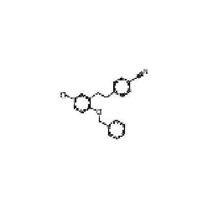 N#Cc1ccc(CCc2cc(Cl)ccc2OCc2ccccc2)cc1